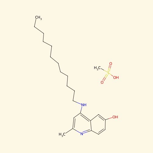 CCCCCCCCCCCCNc1cc(C)nc2ccc(O)cc12.CS(=O)(=O)O